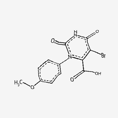 COc1ccc(-n2c(C(=O)O)c(Br)c(=O)[nH]c2=O)cc1